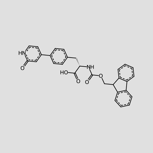 O=C(N[C@@H](Cc1ccc(-c2cc[nH]c(=O)c2)cc1)C(=O)O)OCC1c2ccccc2-c2ccccc21